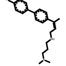 C/C(=C/CNCCCN(C)C)c1ccc(-c2ccc(F)cc2)cc1